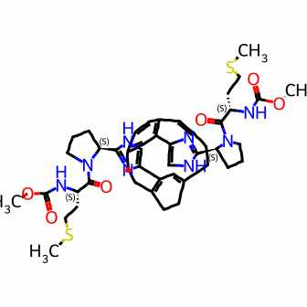 COC(=O)N[C@@H](CCSC)C(=O)N1CCC[C@H]1c1nc(C2=C3CCC(=C2)CCC=Cc2ccc(cc2-c2c[nH]c([C@@H]4CCCN4C(=O)[C@H](CCSC)NC(=O)OC)n2)CC3)c[nH]1